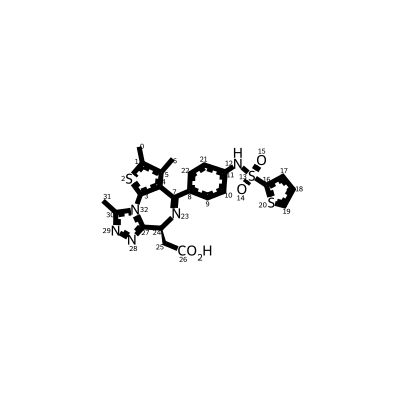 Cc1sc2c(c1C)C(c1ccc(NS(=O)(=O)c3cccs3)cc1)=N[C@@H](CC(=O)O)c1nnc(C)n1-2